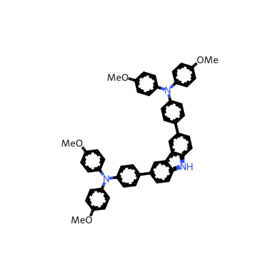 COc1ccc(N(c2ccc(OC)cc2)c2ccc(-c3ccc4[nH]c5ccc(-c6ccc(N(c7ccc(OC)cc7)c7ccc(OC)cc7)cc6)cc5c4c3)cc2)cc1